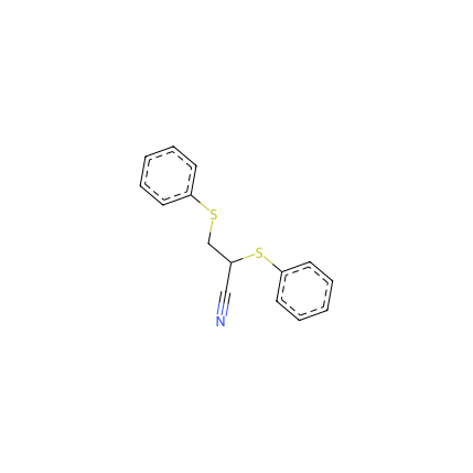 N#CC(CSc1ccccc1)Sc1ccccc1